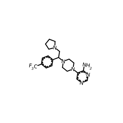 Nc1ncncc1N1CCN(C(CN2CCCC2)c2ccc(C(F)(F)F)cc2)CC1